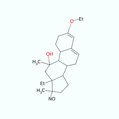 CCOC1=CC2=CCC3C(C2CC1)C(C)(O)CC1(CC)C3CCC1(C)N=O